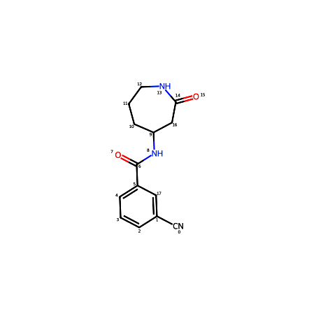 N#Cc1cccc(C(=O)NC2CCCNC(=O)C2)c1